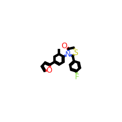 CC1CC(c2ccco2)=CC=C1N1C(=O)CSC1c1ccc(F)cc1